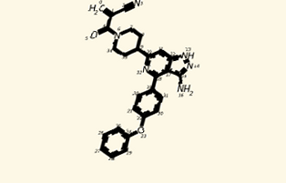 C=C(C#N)C(=O)N1CCC(c2cc3[nH]nc(N)c3c(-c3ccc(Oc4ccccc4)cc3)n2)CC1